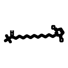 CC(C)(C)NCCCCCCCCCCCN1C(=O)C=CC1=O